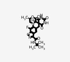 C[C@@H]1CN2c3c(cc4c(C(=O)NC(C)(C)C)noc4c3F)CC3(C(=O)NC(=O)NC3=O)[C@H]2[C@H](C)O1